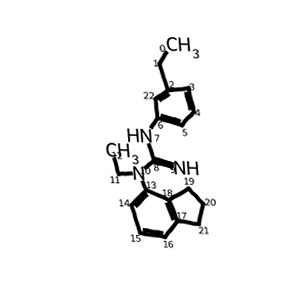 CCc1cccc(NC(=N)N(CC)c2cccc3c2CCC3)c1